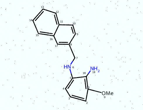 COc1cccc(NCc2ccc3ccccc3c2)c1N